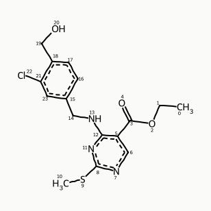 CCOC(=O)c1cnc(SC)nc1NCc1ccc(CO)c(Cl)c1